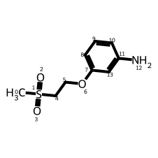 CS(=O)(=O)CCOc1cccc(N)c1